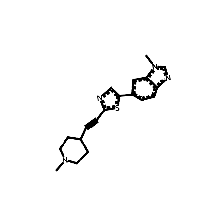 CN1CCC(C#Cc2ncc(-c3ccc4ncn(C)c4c3)s2)CC1